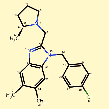 Cc1cc2nc(CN3CCC[C@@H]3C)n(Cc3ccc(Cl)cc3)c2cc1C